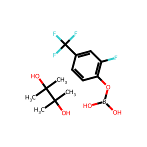 CC(C)(O)C(C)(C)O.OB(O)Oc1ccc(C(F)(F)F)cc1F